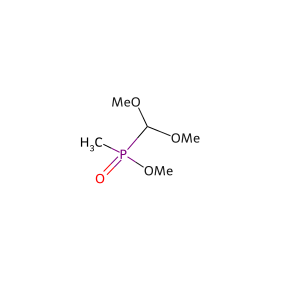 COC(OC)P(C)(=O)OC